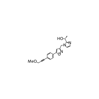 COCC#Cc1ccc(-c2cc(Cn3ccnc3[C@H](C)O)no2)cc1